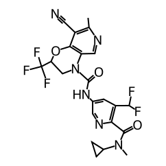 Cc1ncc2c(c1C#N)OC(C(F)(F)F)CN2C(=O)Nc1cnc(C(=O)N(C)C2CC2)c(C(F)F)c1